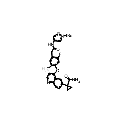 Cc1cc(CC(=O)Nc2cnn(C(C)(C)C)c2)c(F)cc1Oc1ccnc2ccc(C3(C(N)=O)CC3)cc12